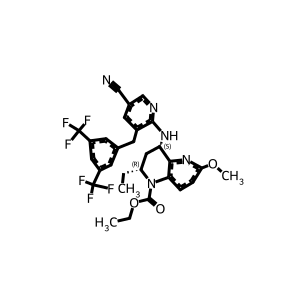 CCOC(=O)N1c2ccc(OC)nc2[C@@H](Nc2ncc(C#N)cc2Cc2cc(C(F)(F)F)cc(C(F)(F)F)c2)C[C@H]1CC